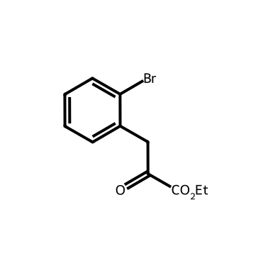 CCOC(=O)C(=O)Cc1ccccc1Br